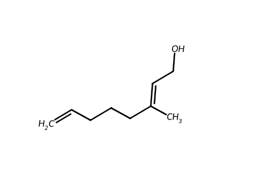 C=CCCCC(C)=CCO